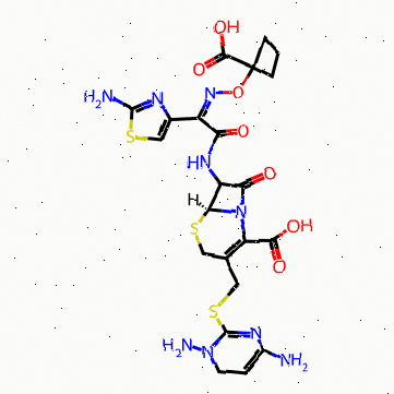 NC1=CCN(N)C(SCC2=C(C(=O)O)N3C(=O)C(NC(=O)/C(=N\OC4(C(=O)O)CCC4)c4csc(N)n4)[C@@H]3SC2)=N1